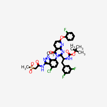 Cn1nc(NC(=O)CS(C)(=O)=O)c2c(Cl)ccc(-n3c(C(Cc4cc(F)cc(F)c4)NC(=O)OC(C)(C)C)nc4nc(Oc5ccccc5F)ccc4c3=O)c21